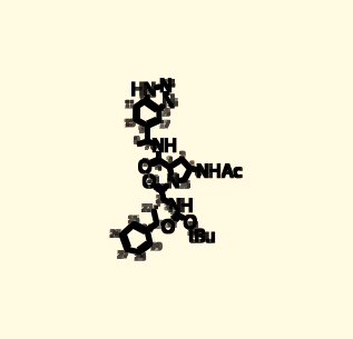 CC(=O)NC1CC(C(=O)NC(C)c2ccc3[nH]nnc3c2)N(C(=O)[C@@H](CCc2ccccc2)NC(=O)OC(C)(C)C)C1